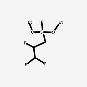 CCO[Si](C)(CC(F)C(F)F)OCC